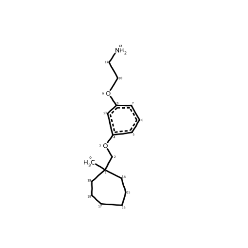 CC1(COc2cccc(OCCN)c2)CCCCCC1